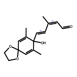 CC1=CC2(C=C(C)C1(O)/C=C/C(C)=C\C=O)OCCO2